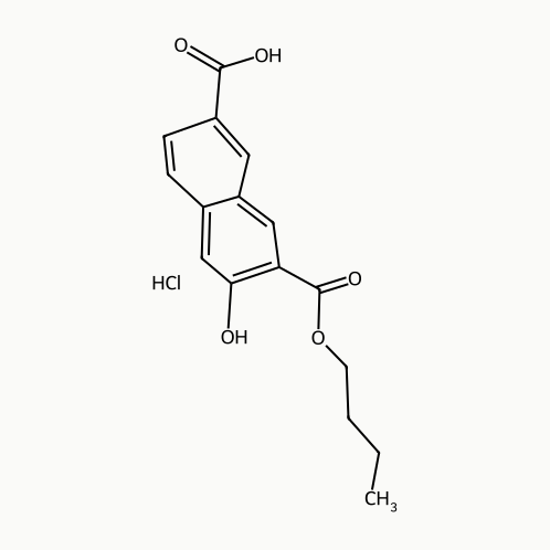 CCCCOC(=O)c1cc2cc(C(=O)O)ccc2cc1O.Cl